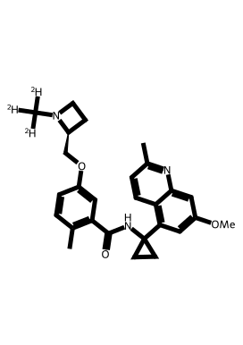 [2H]C([2H])([2H])N1CC[C@H]1COc1ccc(C)c(C(=O)NC2(c3cc(OC)cc4nc(C)ccc34)CC2)c1